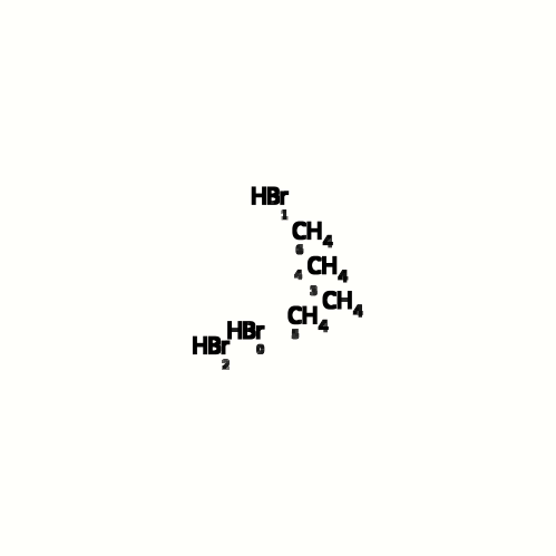 Br.Br.Br.C.C.C.C